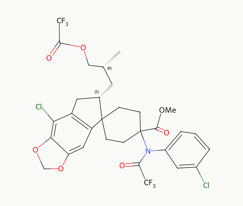 COC(=O)C1(N(C(=O)C(F)(F)F)c2cccc(Cl)c2)CCC2(CC1)c1cc3c(c(Cl)c1C[C@@H]2C[C@@H](C)COC(=O)C(F)(F)F)OCO3